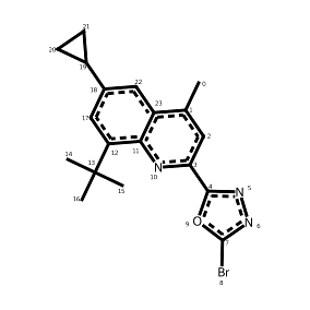 Cc1cc(-c2nnc(Br)o2)nc2c(C(C)(C)C)cc(C3CC3)cc12